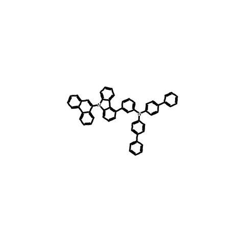 c1ccc(-c2ccc(N(c3ccc(-c4ccccc4)cc3)c3cccc(-c4cccc5c4c4ccccc4n5-c4cc5ccccc5c5ccccc45)c3)cc2)cc1